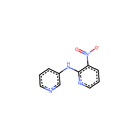 O=[N+]([O-])c1cccnc1Nc1cccnc1